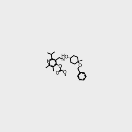 COC(=O)Oc1c(C)c(C)nc(C(C)C)c1CNO[C@H]1CC[C@@](C)(OCc2ccccc2)CC1